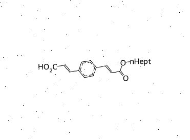 CCCCCCCOC(=O)C=Cc1ccc(C=CC(=O)O)cc1